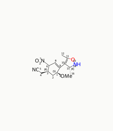 CO[C@H]1C[C@@H](CC#N)C([N+](=O)[O-])C=C1C1=C(C)ON[C@@H]1C